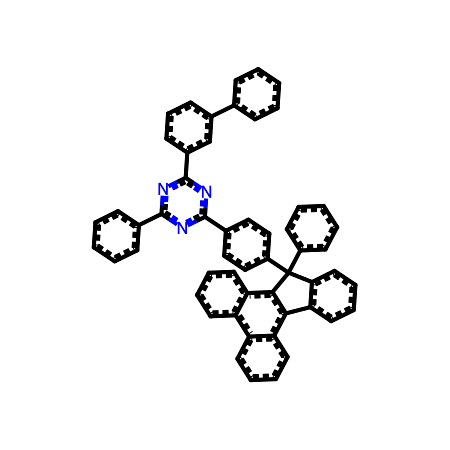 c1ccc(-c2cccc(-c3nc(-c4ccccc4)nc(-c4ccc(C5(c6ccccc6)c6ccccc6-c6c5c5ccccc5c5ccccc65)cc4)n3)c2)cc1